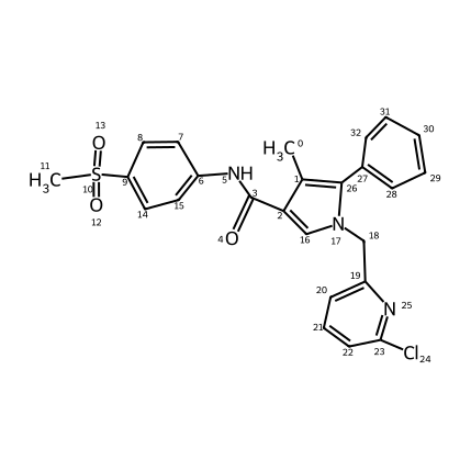 Cc1c(C(=O)Nc2ccc(S(C)(=O)=O)cc2)cn(Cc2cccc(Cl)n2)c1-c1ccccc1